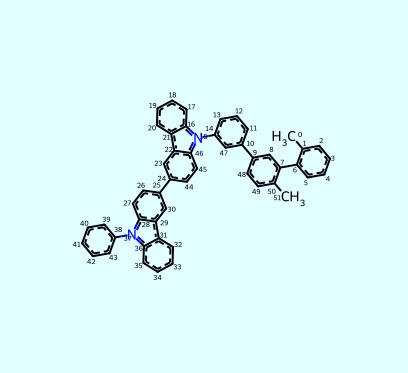 Cc1ccccc1-c1cc(-c2cccc(-n3c4ccccc4c4cc(-c5ccc6c(c5)c5ccccc5n6-c5ccccc5)ccc43)c2)ccc1C